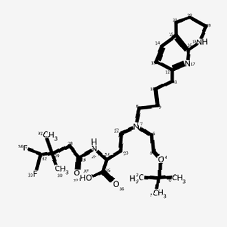 CC(C)(C)OCCN(CCCCc1ccc2c(n1)NCCC2)CCC(NC(=O)CC(C)(C)C(F)F)C(=O)O